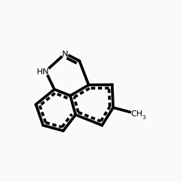 Cc1cc2c3c(cccc3c1)NN=C2